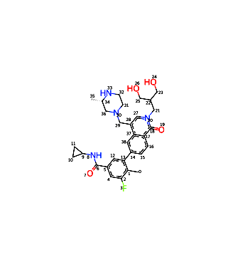 Cc1c(F)cc(C(=O)NC2CC2)cc1-c1ccc2c(=O)n(CC(CO)CO)cc(CN3CCN[C@@H](C)C3)c2c1